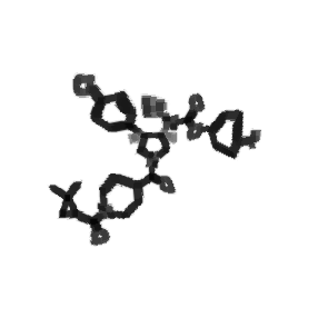 CCN(C(=O)Oc1ccc(F)cc1)[C@@H]1CN(C(=O)C2CCN(C(=O)C3CC3(C)C)CC2)C[C@H]1c1ccc(Cl)cc1